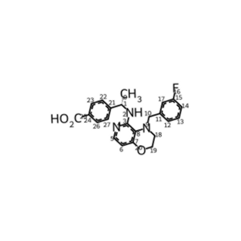 C[C@H](Nc1nccc2c1N(Cc1cccc(F)c1)CCO2)c1ccc(C(=O)O)cc1